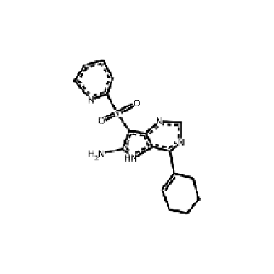 Nc1[nH]c2c(C3=CCCCC3)ncnc2c1S(=O)(=O)c1ccccn1